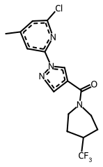 Cc1cc(Cl)nc(-n2cc(C(=O)N3CCC(C(F)(F)F)CC3)cn2)c1